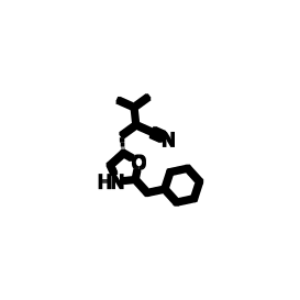 CC(C)C(C#N)C[C@H]1CNC(CC2CCCCC2)O1